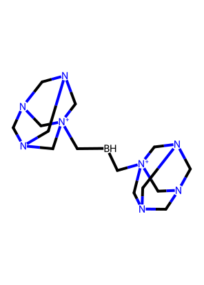 B(C[N+]12CN3CN(CN(C3)C1)C2)C[N+]12CN3CN(CN(C3)C1)C2